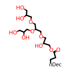 CCCCCCCCCCCCC(=O)OCC(O)COCC(COCC(O)CO)OCC(O)CO